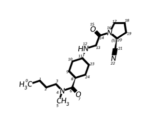 CCCCN(C)C(=O)[C@H]1CC[C@H](NCC(=O)N2CCC[C@H]2C#N)CC1